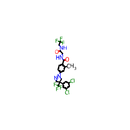 Cc1cc(N2CC(c3cc(Cl)cc(Cl)c3)(C(F)(F)F)C=N2)ccc1C(=O)NCC(=O)NCC(F)(F)F